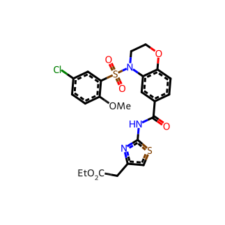 CCOC(=O)Cc1csc(NC(=O)c2ccc3c(c2)N(S(=O)(=O)c2cc(Cl)ccc2OC)CCO3)n1